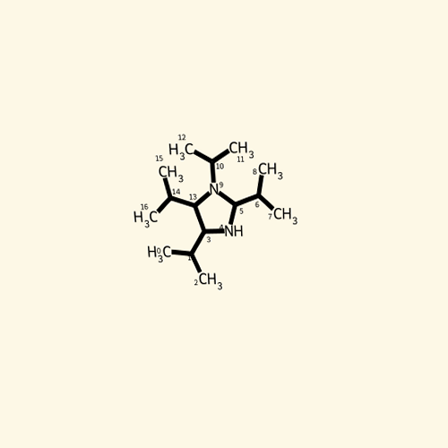 CC(C)C1NC(C(C)C)N(C(C)C)C1C(C)C